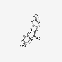 O=C1/C(=C/c2ccc(C(F)(F)F)cc2)Cc2ccc(O)cc21